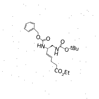 CCOC(=O)CCC=C[C@H](CNC(=O)OC(C)(C)C)NC(=O)OCc1ccccc1